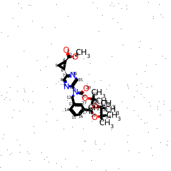 COC(=O)[C@@H]1C[C@H]1c1cnc(N(Cc2cccc(B3OC(C)(C)C(C)(C)O3)c2)C(=O)OC(C)(C)C)cn1